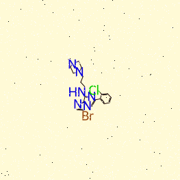 CN1CCN(CCCNc2nc(-c3ccccc3Cl)cn3c(Br)cnc23)CC1